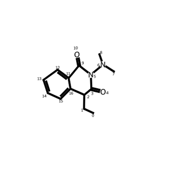 CCC1C(=O)N(N(C)C)C(=O)c2ccccc21